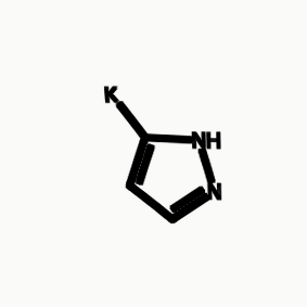 [K][c]1ccn[nH]1